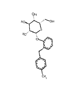 Cc1ccc(Cc2ccccc2O[C@H]2S[C@@H](CO)[C@@H](O)[C@H](O)[C@H]2O)cc1